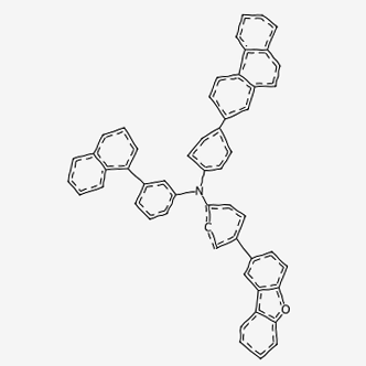 c1cc(-c2cccc3ccccc23)cc(N(c2ccc(-c3ccc4c(ccc5ccccc54)c3)cc2)c2ccc(-c3ccc4oc5ccccc5c4c3)cc2)c1